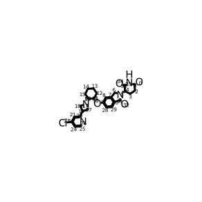 O=C1CCC(N2Cc3cc(O[C@H]4CCCC[C@H]4N4CC(c5cc(Cl)ccn5)C4)ccc3C2=O)C(=O)N1